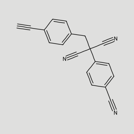 C#Cc1ccc(CC(C#N)(C#N)c2ccc(C#N)cc2)cc1